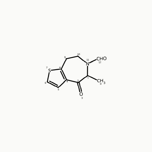 CC1C(=O)c2ccsc2CCN1C=O